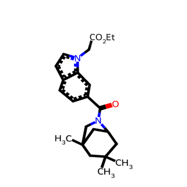 CCOC(=O)Cn1ccc2ccc(C(=O)N3CC4(C)CC3CC(C)(C)C4)cc21